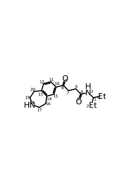 CCC(CC)NC(=O)CCC(=O)c1ccc2c(c1)CCNCC2